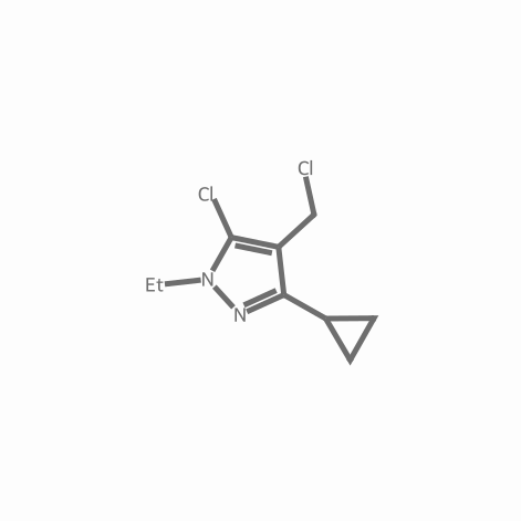 CCn1nc(C2CC2)c(CCl)c1Cl